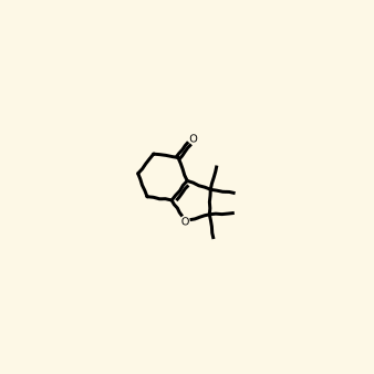 CC1(C)OC2=C(C(=O)CCC2)C1(C)C